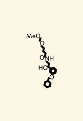 COCCOCCCCC(=O)NCCC(O)c1cccc(OCC2CCCCC2)c1